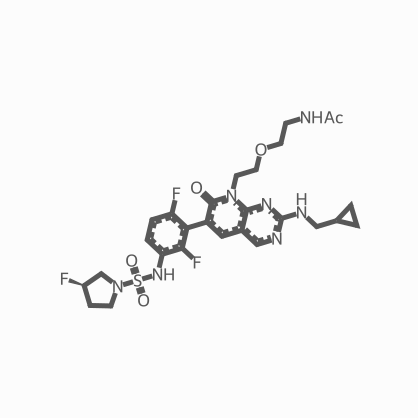 CC(=O)NCCOCCn1c(=O)c(-c2c(F)ccc(NS(=O)(=O)N3CC[C@@H](F)C3)c2F)cc2cnc(NCC3CC3)nc21